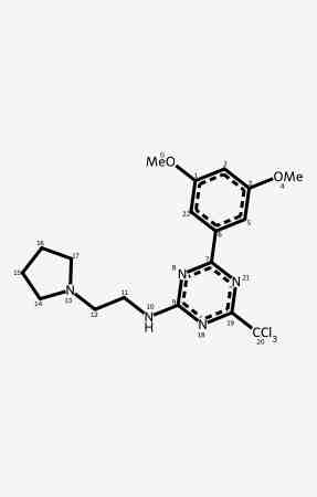 COc1cc(OC)cc(-c2nc(NCCN3CCCC3)nc(C(Cl)(Cl)Cl)n2)c1